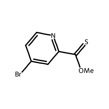 COC(=S)c1cc(Br)ccn1